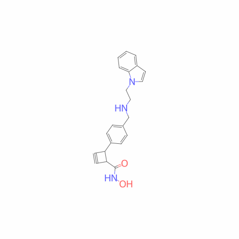 O=C(NO)C1C#CC1c1ccc(CNCCn2ccc3ccccc32)cc1